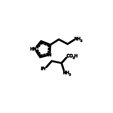 CC(C)CC(N)C(=O)O.NCCc1c[nH]cn1